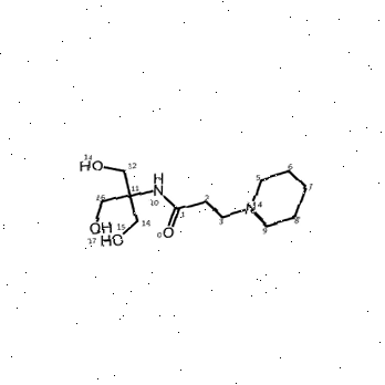 O=C(CCN1CCCCC1)NC(CO)(CO)CO